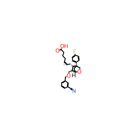 N#Cc1cccc(COC[C@@H]2[C@@H]3C[C@@](c4ccc(F)cc4)(CO3)[C@H]2C/C=C\CCCC(=O)O)c1